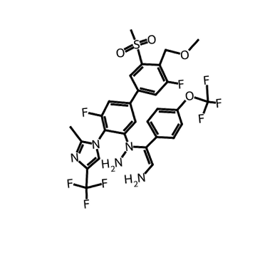 COCc1c(F)cc(-c2cc(F)c(-n3cc(C(F)(F)F)nc3C)c(N(N)/C(=C\N)c3ccc(OC(F)(F)F)cc3)c2)cc1S(C)(=O)=O